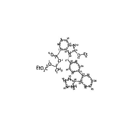 CCOC(=O)OC(C)OC(=O)c1cccc2nc(OCC)n(Cc3ccc(-c4ccccc4-c4nnn[nH]4)cc3)c12